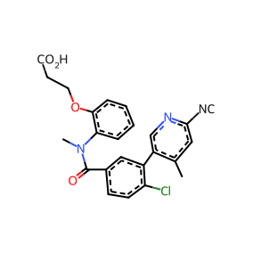 [C-]#[N+]c1cc(C)c(-c2cc(C(=O)N(C)c3ccccc3OCCC(=O)O)ccc2Cl)cn1